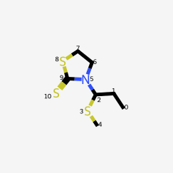 CCC(SC)N1CCSC1=S